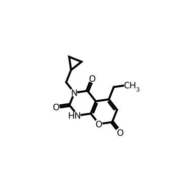 CCc1cc(=O)oc2[nH]c(=O)n(CC3CC3)c(=O)c12